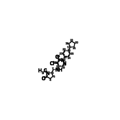 CN1C(=O)CCC1CNc1cnn(-c2ccc(C3CCCC3)cc2)c(=O)c1Cl